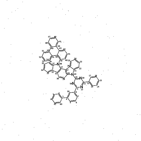 c1ccc(-c2cccc(-c3nc(-c4ccccc4)nc(-n4c5ccccc5c5c4ccc4c6ccccc6n(-c6cccc7c8ccccc8c8ccccc8c67)c45)n3)c2)cc1